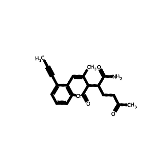 CC#Cc1cccc(C)c1/C=C(/C)C(C=O)C(CCC(C)=O)C(N)=O